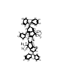 CC1(C)c2cc(N(c3ccccc3)c3ccccc3)cnc2-c2nc3c(nc21)-c1c(-c2ccccc2)cc(N(c2ccccc2)c2ccccc2)cc1C3(C)C